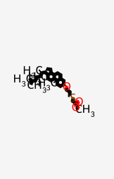 COC(=O)CSCCCO[C@H]1CC[C@@]2(C)C(=CCC3C2CC[C@@]2(C)C3CC[C@@H]2[C@H](C)CCCC(C)C)C1